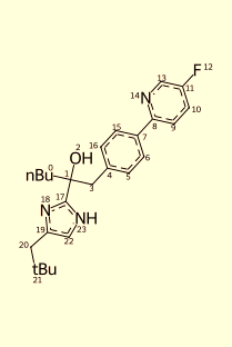 CCCCC(O)(Cc1ccc(-c2ccc(F)cn2)cc1)c1nc(CC(C)(C)C)c[nH]1